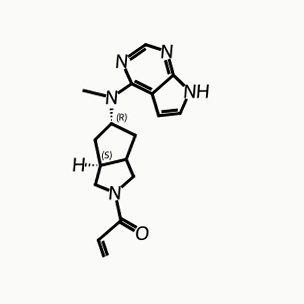 C=CC(=O)N1CC2C[C@@H](N(C)c3ncnc4[nH]ccc34)C[C@@H]2C1